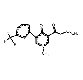 COCC(=O)c1cn(C)cc(-c2cccc(C(F)(F)F)c2)c1=O